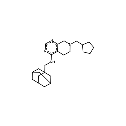 c1nc2c(c(NCC34CC5CC(CC(C5)C3)C4)n1)CCN(CC1CCCC1)C2